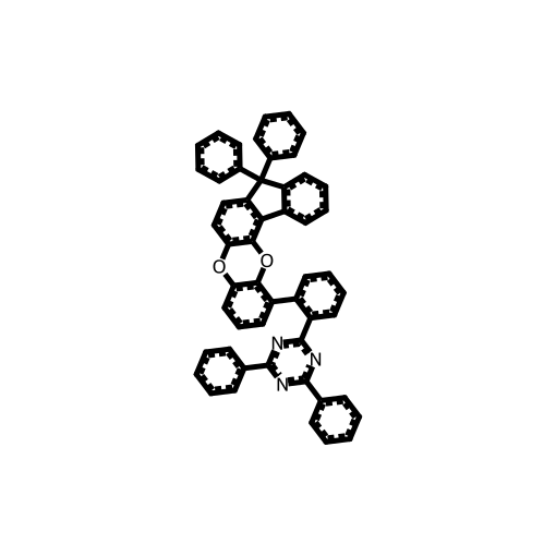 c1ccc(-c2nc(-c3ccccc3)nc(-c3ccccc3-c3cccc4c3Oc3c(ccc5c3-c3ccccc3C5(c3ccccc3)c3ccccc3)O4)n2)cc1